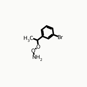 CC(OON)c1cccc(Br)c1